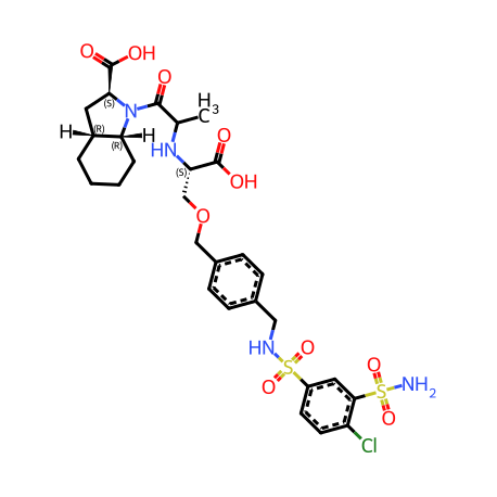 CC(N[C@@H](COCc1ccc(CNS(=O)(=O)c2ccc(Cl)c(S(N)(=O)=O)c2)cc1)C(=O)O)C(=O)N1[C@@H]2CCCC[C@@H]2C[C@H]1C(=O)O